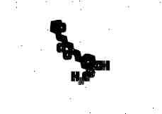 COc1cc(/C=C/C(=O)CC(=O)/C=C/c2ccco2)ccc1O